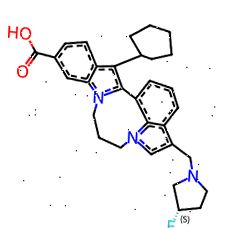 O=C(O)c1ccc2c(C3CCCCC3)c3n(c2c1)CCCn1cc(CN2CC[C@H](F)C2)c2cccc-3c21